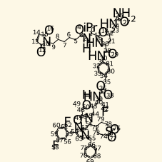 CC(C)[C@H](NC(=O)CCCCCN1C(=O)C=CC1=O)C(=O)N[C@@H](CCCNC(N)=O)C(=O)Nc1ccc(COC(=O)N[C@H](CF)CCN(C(=O)[C@H](C)O)[C@H](c2nc(-c3cc(F)ccc3F)cn2Cc2ccccc2)C2CCS(=O)(=O)CC2)cc1